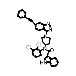 O=C(c1c[nH]c2ccccc12)N(c1cccc(Cl)c1Cl)C1CCN(c2ncnc3cc(C#Cc4ccccc4)ccc23)CC1